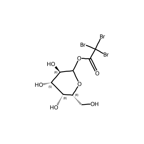 O=C(OC1O[C@H](CO)[C@H](O)[C@H](O)[C@H]1O)C(Br)(Br)Br